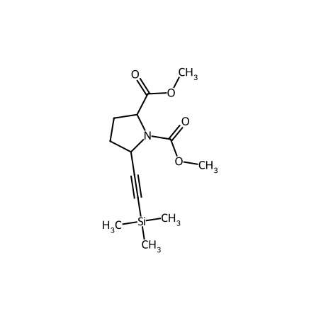 COC(=O)C1CCC(C#C[Si](C)(C)C)N1C(=O)OC